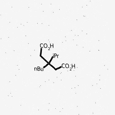 CCCCC(CC(=O)O)(CC(=O)O)C(C)C